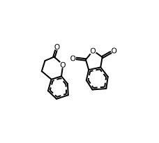 O=C1CCc2ccccc2O1.O=C1OC(=O)c2ccccc21